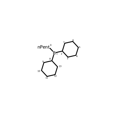 CCCCCB(C1CCCCC1)C1CCCCC1